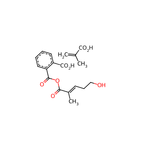 C=C(C)C(=O)O.CC(=CCCO)C(=O)OC(=O)c1ccccc1C(=O)O